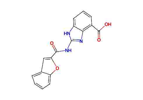 O=C(Nc1nc2c(C(=O)O)cccc2[nH]1)c1cc2ccccc2o1